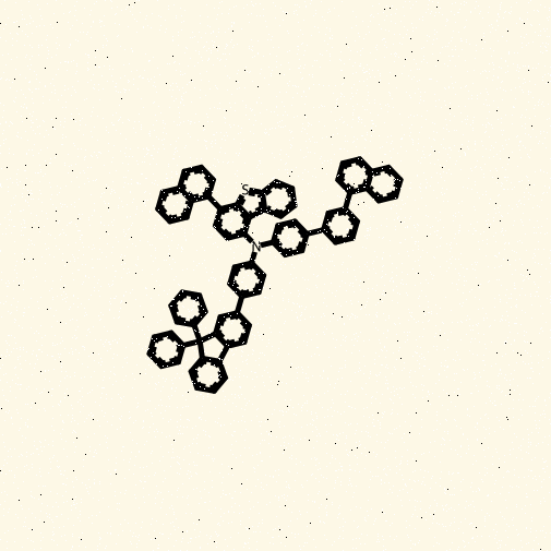 c1ccc(C2(c3ccccc3)c3ccccc3-c3ccc(-c4ccc(N(c5ccc(-c6cccc(-c7cccc8ccccc78)c6)cc5)c5ccc(-c6cccc7ccccc67)c6sc7ccccc7c56)cc4)cc32)cc1